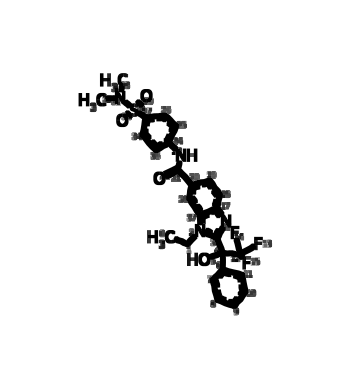 CCn1c(C(O)(c2ccccc2)C(F)(F)F)nc2ccc(C(=O)Nc3ccc(S(=O)(=O)N(C)C)cc3)cc21